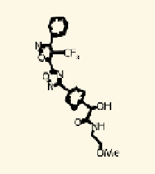 COCCNC(=O)C(O)c1ccc(-c2noc(-c3onc(-c4ccccc4)c3C(F)(F)F)n2)cc1